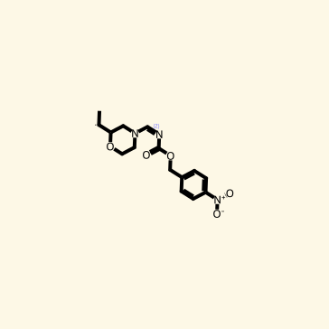 C[CH]C1CN(/C=N\C(=O)OCc2ccc([N+](=O)[O-])cc2)CCO1